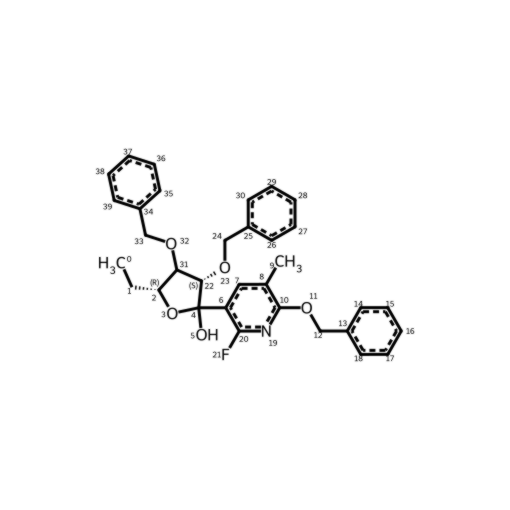 CC[C@H]1OC(O)(c2cc(C)c(OCc3ccccc3)nc2F)[C@@H](OCc2ccccc2)C1OCc1ccccc1